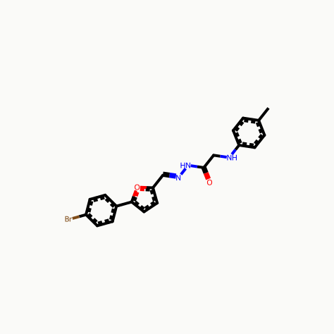 Cc1ccc(NCC(=O)NN=Cc2ccc(-c3ccc(Br)cc3)o2)cc1